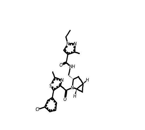 CCn1cc(C(=O)NC[C@@H]2C[C@@H]3C[C@@H]3N2C(=O)c2nc(C)sc2-c2cccc(Cl)c2)c(C)n1